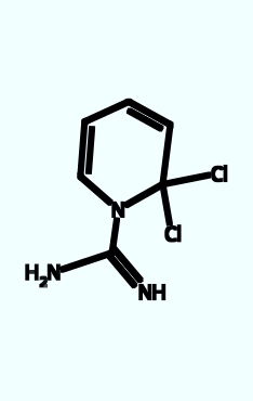 N=C(N)N1C=CC=CC1(Cl)Cl